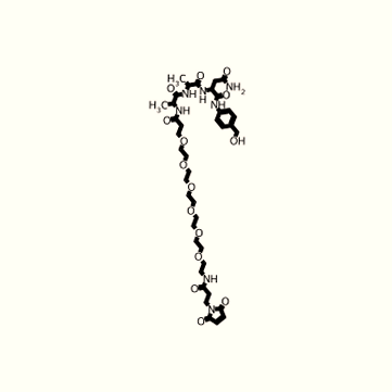 CC(NC(=O)CCOCCOCCOCCOCCOCCOCCNC(=O)CCN1C(=O)C=CC1=O)C(=O)NC(C)C(=O)NC(CC(N)=O)C(=O)Nc1ccc(CO)cc1